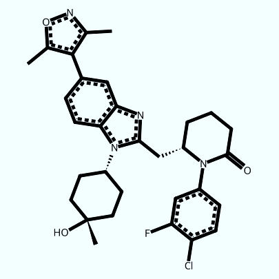 Cc1noc(C)c1-c1ccc2c(c1)nc(C[C@@H]1CCCC(=O)N1c1ccc(Cl)c(F)c1)n2[C@H]1CC[C@@](C)(O)CC1